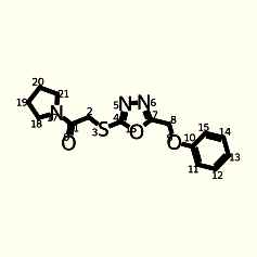 O=C(CSc1nnc(COc2ccccc2)o1)N1CCCC1